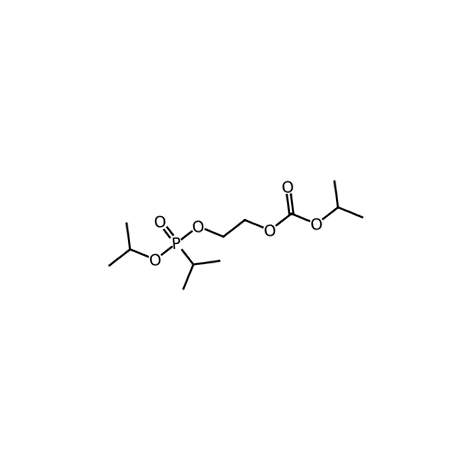 CC(C)OC(=O)OCCOP(=O)(OC(C)C)C(C)C